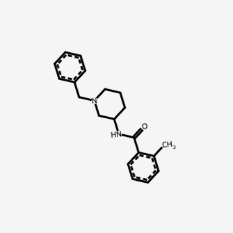 Cc1ccccc1C(=O)NC1CCCN(Cc2ccccc2)C1